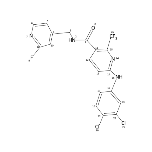 O=C(NCc1ccnc(F)c1)c1ccc(Nc2ccc(Cl)c(Cl)c2)nc1C(F)(F)F